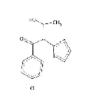 CC(O)C(C(=O)c1ccc(Cl)cc1)c1cccs1